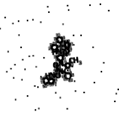 Cc1ccc2c(c1)N(c1ccc(NC(c3ncc[nH]3)C(c3ccccc3)(c3ccccc3)c3ccccc3)cc1)C(=O)N(CC(=O)Nc1cccc3ccccc13)N=C2C1CCCCC1